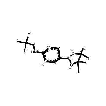 CC(F)(F)CNc1ncc(B2OC(C)(C)C(C)(C)O2)cn1